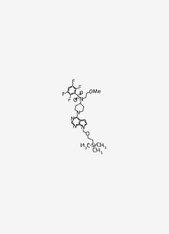 COCCN(C1CCN(c2ncnc3c2ccn3COCC[Si](C)(C)C)CC1)S(=O)(=O)c1c(F)c(F)cc(F)c1F